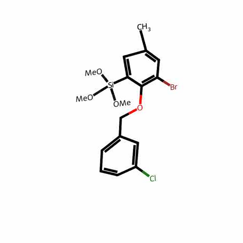 CO[Si](OC)(OC)c1cc(C)cc(Br)c1OCc1cccc(Cl)c1